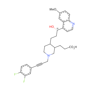 COc1ccc2nccc([C@@H](O)CCC3CCN(CC#Cc4ccc(F)c(F)c4)CC3CCC(=O)O)c2c1